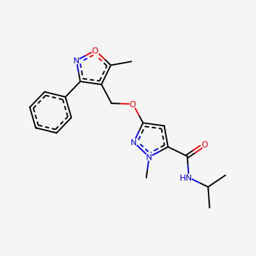 Cc1onc(-c2ccccc2)c1COc1cc(C(=O)NC(C)C)n(C)n1